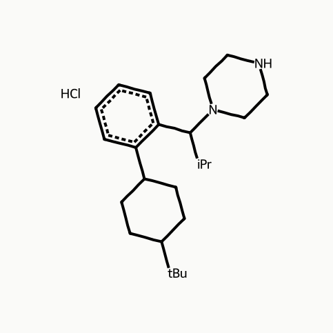 CC(C)C(c1ccccc1C1CCC(C(C)(C)C)CC1)N1CCNCC1.Cl